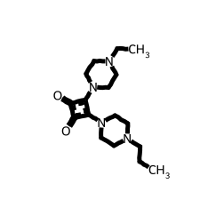 CCCN1CCN(c2c(N3CCN(CC)CC3)c(=O)c2=O)CC1